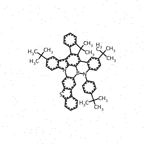 CC(C)(C)c1ccc(N2B3c4cc5c(cc4-n4c6ccc(C(C)(C)C)cc6c6c7c(c(c3c64)-c3cc(C(C)(C)C)ccc32)C(C)(C)c2ccccc2-7)sc2ccccc25)cc1